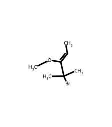 CC=C(OC)C(C)(C)Br